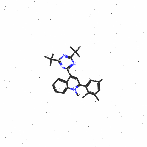 Cc1cc(C)c(C)c(-c2cc(-c3nc(C(C)(C)C)nc(C(C)(C)C)n3)c3ccccc3[n+]2C)c1